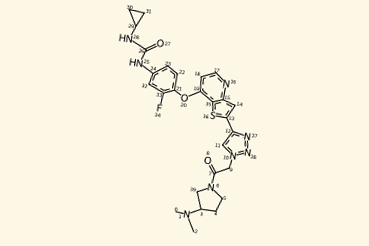 CN(C)C1CCN(C(=O)Cn2cc(-c3cc4nccc(Oc5ccc(NC(=O)NC6CC6)cc5F)c4s3)nn2)C1